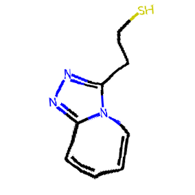 SCCc1nnc2ccccn12